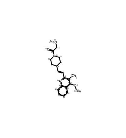 CCCCOc1c(C)c(/C=C/C2CCN(C(=O)COC)CC2)nc2ccccc12